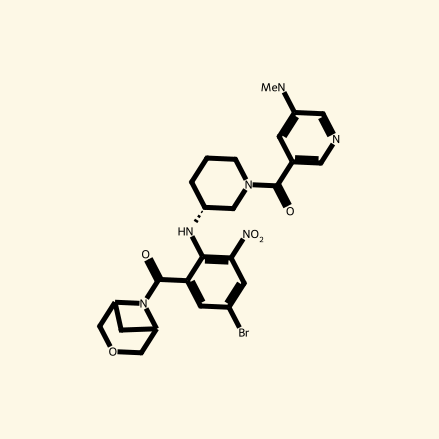 CNc1cncc(C(=O)N2CCC[C@@H](Nc3c(C(=O)N4C5COCC4C5)cc(Br)cc3[N+](=O)[O-])C2)c1